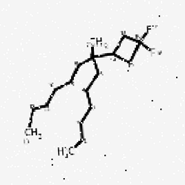 CCCCCCC(C)(CCCCCC)C1CC(F)(F)C1